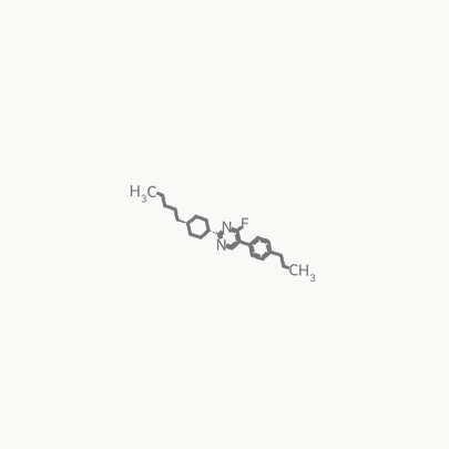 CCCCC[C@H]1CC[C@H](c2ncc(-c3ccc(CCC)cc3)c(F)n2)CC1